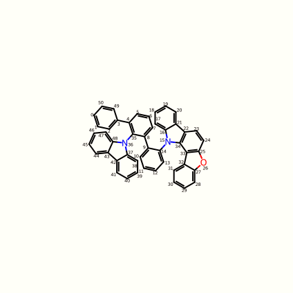 c1ccc(-c2cccc(-c3ccccc3-n3c4ccccc4c4ccc5oc6ccccc6c5c43)c2-n2c3ccccc3c3ccccc32)cc1